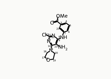 COC(=O)c1cccc(Nc2nc(Cl)nc(N3CCOCC3)c2N)c1